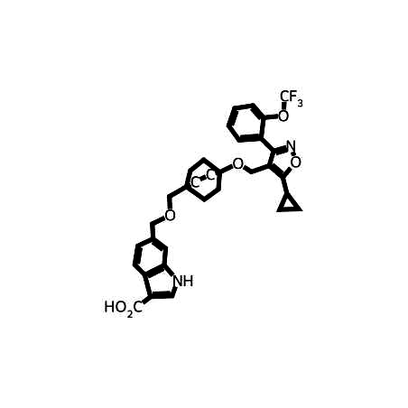 O=C(O)c1c[nH]c2cc(COCC34CCC(OCc5c(-c6ccccc6OC(F)(F)F)noc5C5CC5)(CC3)CC4)ccc12